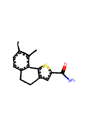 Cc1ccc2c(c1C)-c1sc(C(N)=O)cc1CC2